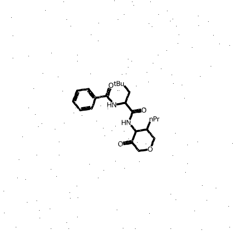 CCCC1COCC(=O)C1NC(=O)C(CC(C)(C)C)NC(=O)c1ccccc1